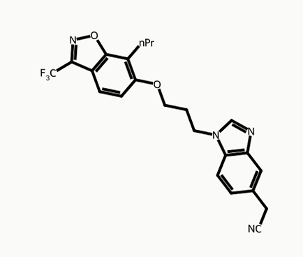 CCCc1c(OCCCn2cnc3cc(CC#N)ccc32)ccc2c(C(F)(F)F)noc12